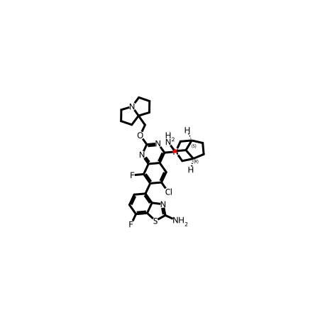 NCC1[C@@H]2CC[C@H]1CN(c1nc(OCC34CCCN3CCC4)nc3c(F)c(-c4ccc(F)c5sc(N)nc45)c(Cl)cc13)C2